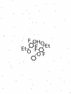 CCC(=O)c1cc(F)c(O)c(F)c1.CCC(=O)c1cc(F)c(OCc2ccccc2)c(F)c1